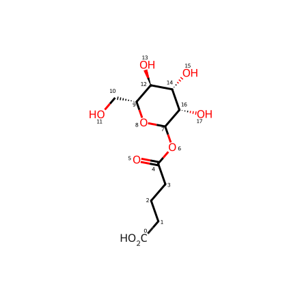 O=C(O)CCCC(=O)OC1O[C@H](CO)[C@@H](O)[C@H](O)[C@@H]1O